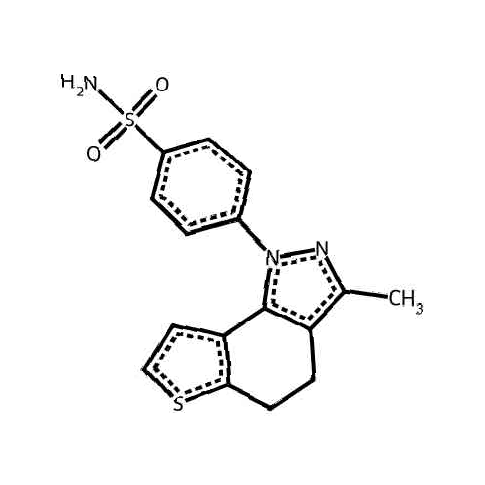 Cc1nn(-c2ccc(S(N)(=O)=O)cc2)c2c1CCc1sccc1-2